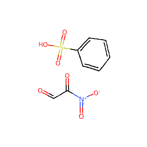 O=CC(=O)[N+](=O)[O-].O=S(=O)(O)c1ccccc1